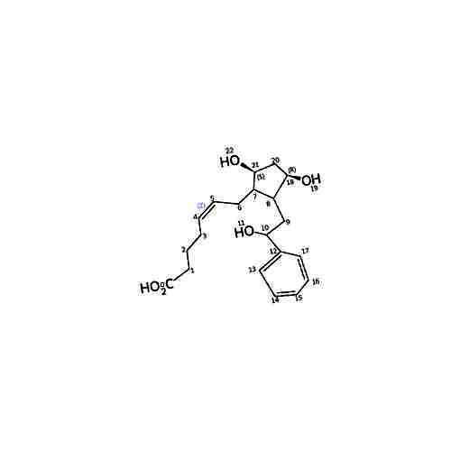 O=C(O)CCC/C=C\CC1C(CC(O)c2ccccc2)[C@H](O)C[C@@H]1O